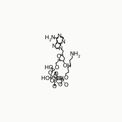 NCCCCCCOP(=O)(O)OP(=O)(O)OP(=O)(O)OP(=O)(O)OC[C@H]1O[C@@H](Cn2cnc3c(N)ncnc32)CC1O